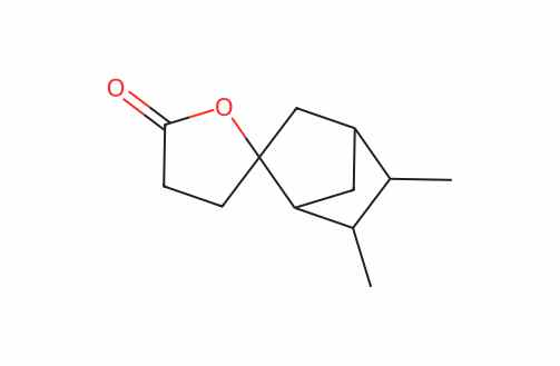 CC1C2CC(C1C)C1(CCC(=O)O1)C2